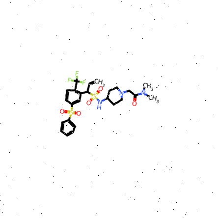 C=CC(c1cc(S(=O)(=O)c2ccccc2)ccc1C(F)(F)F)S(=O)(=O)NC1CCN(CC(=O)N(C)C)CC1